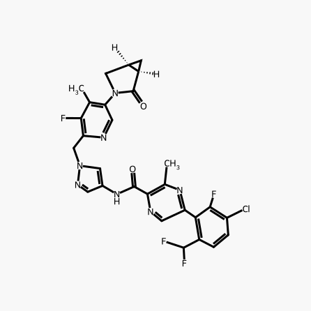 Cc1nc(-c2c(C(F)F)ccc(Cl)c2F)cnc1C(=O)Nc1cnn(Cc2ncc(N3C[C@H]4C[C@H]4C3=O)c(C)c2F)c1